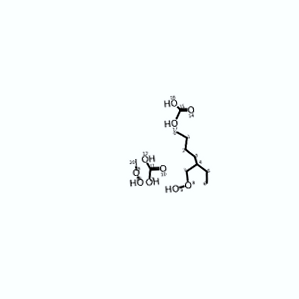 CCCCC(CC)COO.O=C(O)O.O=C(O)O.OOI